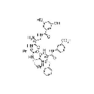 CC(C)C[C@H](NC(=O)[C@@H](NC(=O)[C@@H](N)CNC(=O)c1cc(O)cc(O)c1)C(C)C)C(=O)N[C@@H](Cc1ccccc1)[C@@H](O)C(=O)Nc1cccc(C(=O)O)c1